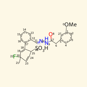 COc1cccc(CC(=O)N/N=C/c2ccccc2C2=CC(C)(F)C=CC2S(=O)(=O)O)c1